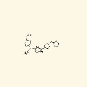 CC(C)Cc1ccc(C(C)c2nc(-c3ccc(CN4CCCC4)cc3)no2)cc1